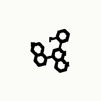 Fc1ccccc1-c1cc(-c2cccc3cnccc23)c2cccnc2n1